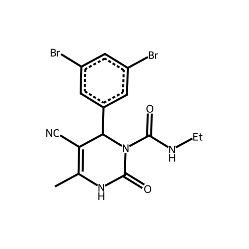 CCNC(=O)N1C(=O)NC(C)=C(C#N)C1c1cc(Br)cc(Br)c1